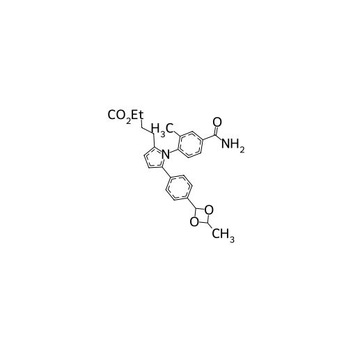 CCOC(=O)CCc1ccc(-c2ccc(C3OC(C)O3)cc2)n1-c1ccc(C(N)=O)cc1C